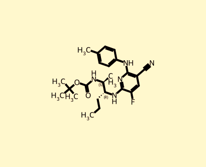 CCC[C@@H](Nc1nc(Nc2ccc(C)cc2)c(C#N)cc1F)[C@H](C)NC(=O)OC(C)(C)C